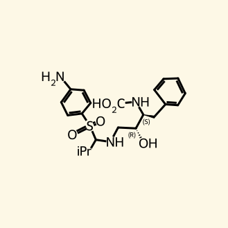 CC(C)C(NC[C@@H](O)[C@H](Cc1ccccc1)NC(=O)O)S(=O)(=O)c1ccc(N)cc1